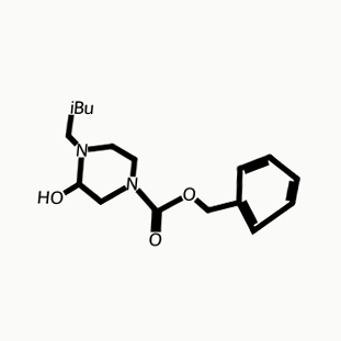 CCC(C)CN1CCN(C(=O)OCc2ccccc2)CC1O